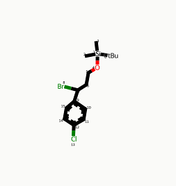 CC(C)(C)[Si](C)(C)OCCC(Br)c1ccc(Cl)cc1